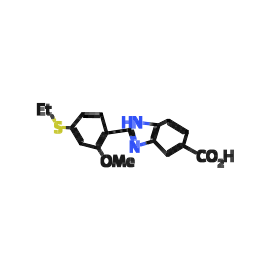 CCSc1ccc(-c2nc3cc(C(=O)O)ccc3[nH]2)c(OC)c1